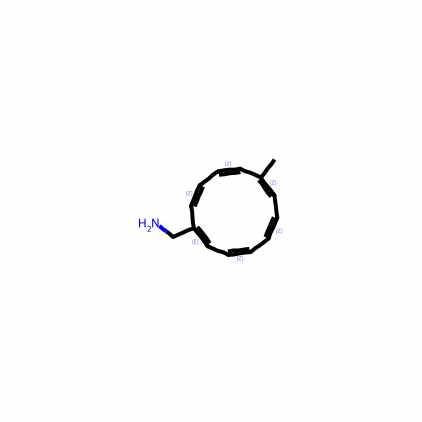 CC1=C/C=C\C=C/C=C(CN)\C=C/C=C\1